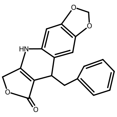 O=C1OCC2=C1C(Cc1ccccc1)c1cc3c(cc1N2)OCO3